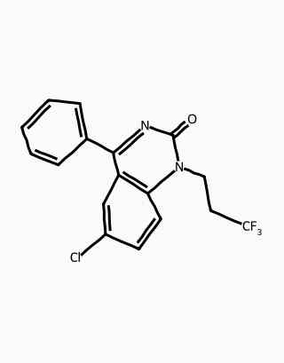 O=c1nc(-c2ccccc2)c2cc(Cl)ccc2n1CCC(F)(F)F